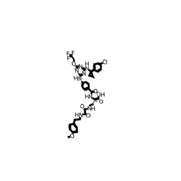 COc1ccc(CCNC(=O)C(=O)NCC[C@H](NC(=O)c2ccc(Nc3nc(NC4(c5ccc(Cl)cc5)CC4)nc(OCC(F)(F)F)n3)cc2)C(=O)O)cc1